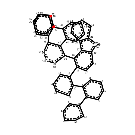 c1ccc(-c2ccccc2-c2ccccc2-c2ccc3[se]c4ccccc4c3c2-c2nnnc(-c3ccccc3)c2-c2ccccc2-c2ccccc2)cc1